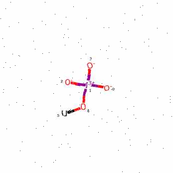 [O-][I+3]([O-])([O-])[O][U]